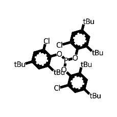 CC(C)(C)c1cc(Cl)c(OP(Oc2c(Cl)cc(C(C)(C)C)cc2C(C)(C)C)Oc2c(Cl)cc(C(C)(C)C)cc2C(C)(C)C)c(C(C)(C)C)c1